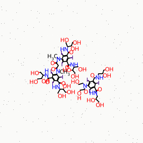 CN(C(=O)CC(=O)N(C)c1c(I)c(C(=O)NC(CO)C(O)CO)c(I)c(C(=O)NC(CO)C(O)CO)c1I)c1c(I)c(C(=O)NC(CO)C(O)CO)c(I)c(C(=O)NC(CO)C(O)CO)c1I.O=C(NCC(O)CO)c1c(I)c(C(=O)NCC(O)CO)c(I)c(N(CCO)C(=O)CO)c1I